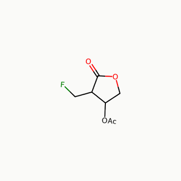 CC(=O)OC1COC(=O)C1CF